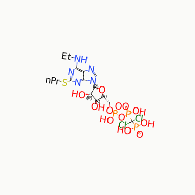 CCCSc1nc(NCC)c2ncn([C@@H]3O[C@H](COP(=O)(O)OP(=O)(O)C(Cl)(Cl)P(=O)(O)O)[C@@H](O)[C@H]3O)c2n1